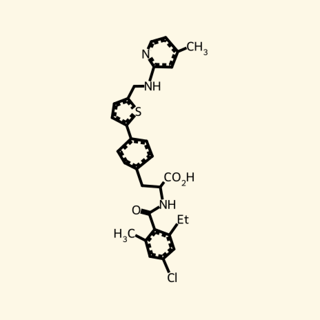 CCc1cc(Cl)cc(C)c1C(=O)NC(Cc1ccc(-c2ccc(CNc3cc(C)ccn3)s2)cc1)C(=O)O